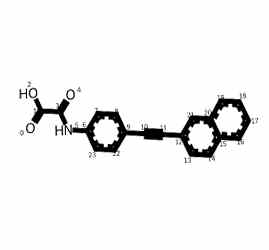 O=C(O)C(=O)Nc1ccc(C#Cc2ccc3ccccc3c2)cc1